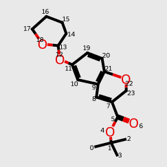 CC(C)(C)OC(=O)C1=Cc2cc(OC3CCCCO3)ccc2OC1